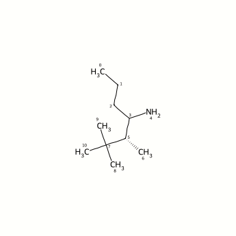 CCCC(N)[C@H](C)C(C)(C)C